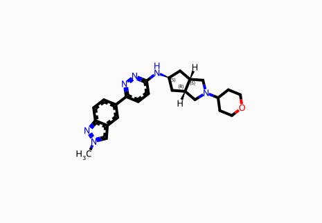 Cn1cc2cc(-c3ccc(N[C@H]4C[C@@H]5CN(C6CCOCC6)C[C@@H]5C4)nn3)ccc2n1